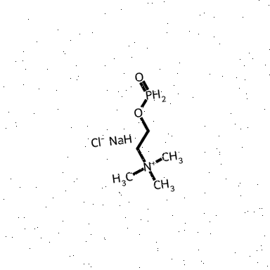 C[N+](C)(C)CCO[PH2]=O.[Cl-].[NaH]